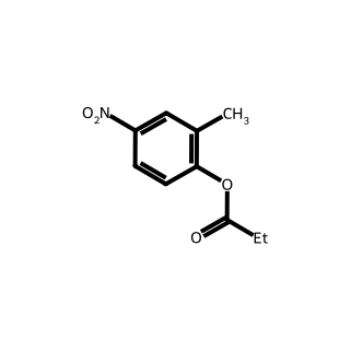 CCC(=O)Oc1ccc([N+](=O)[O-])cc1C